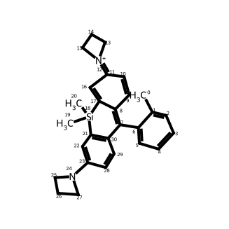 Cc1ccccc1C1=C2C=CC(=[N+]3CCC3)C=C2[Si](C)(C)c2cc(N3CCC3)ccc21